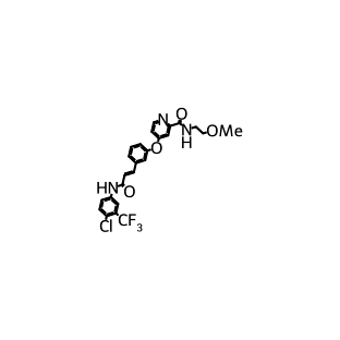 COCCNC(=O)c1cc(Oc2cccc(C=CC(=O)Nc3ccc(Cl)c(C(F)(F)F)c3)c2)ccn1